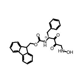 O=C(N[C@@H](Cc1ccccc1)C(=O)C(=O)CNO)OCC1c2ccccc2-c2ccccc21